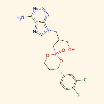 Nc1ncnc2c1ncn2CC(CO)CP1(=O)OCC[C@@H](c2ccc(F)c(Cl)c2)O1